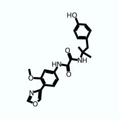 COc1cc(NC(=O)C(=O)NC(C)(C)Cc2ccc(O)cc2)ccc1-c1cocn1